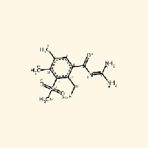 Cc1cc(C(=O)N=C(N)N)c(CF)c(S(C)(=O)=O)c1C